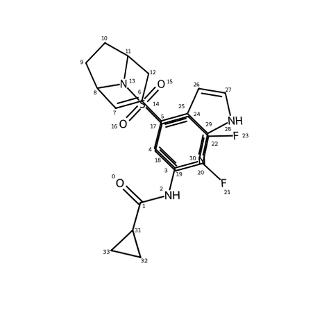 O=C(Nc1cc(C2=CC3CCC(C2)N3S(=O)(=O)c2ccc(F)c(F)c2)c2cc[nH]c2n1)C1CC1